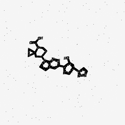 O=C(O)N1CC[C@@H](n2ccc3cc(-c4ncc(-n5ccnn5)cc4O)nnc32)CC12CC2